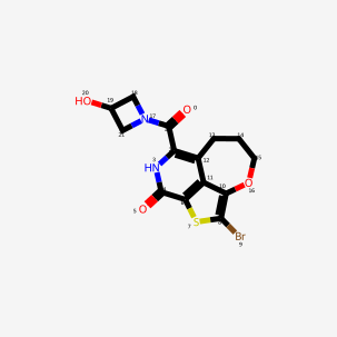 O=C(c1[nH]c(=O)c2sc(Br)c3c2c1CCCO3)N1CC(O)C1